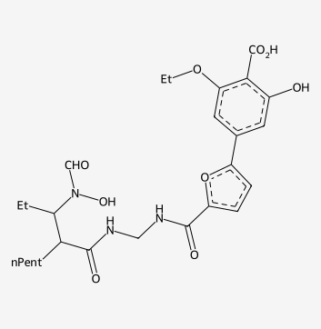 CCCCCC(C(=O)NCNC(=O)c1ccc(-c2cc(O)c(C(=O)O)c(OCC)c2)o1)C(CC)N(O)C=O